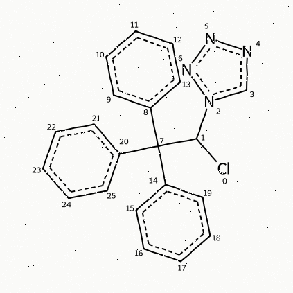 ClC(n1cnnn1)C(c1ccccc1)(c1ccccc1)c1ccccc1